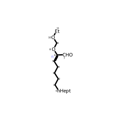 CCCCCCCCCCC/C=C(\C=O)OCOCC